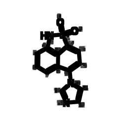 O=S1(=O)Nc2cccc3c(-n4ccnc4)ccc1c23